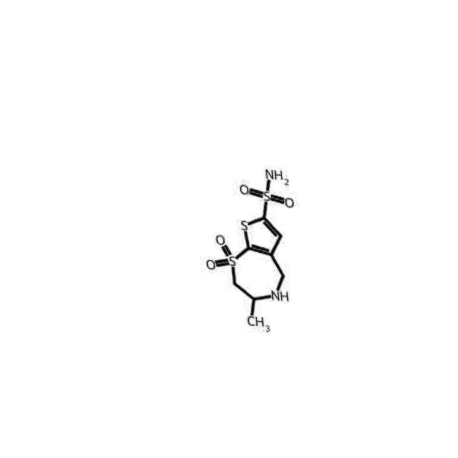 CC1CS(=O)(=O)c2sc(S(N)(=O)=O)cc2CN1